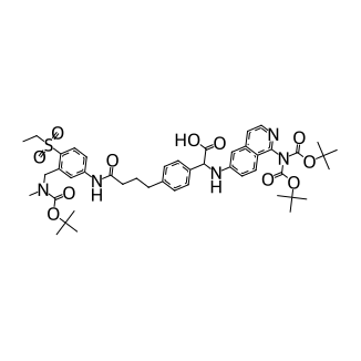 CCS(=O)(=O)c1ccc(NC(=O)CCCc2ccc(C(Nc3ccc4c(N(C(=O)OC(C)(C)C)C(=O)OC(C)(C)C)nccc4c3)C(=O)O)cc2)cc1CN(C)C(=O)OC(C)(C)C